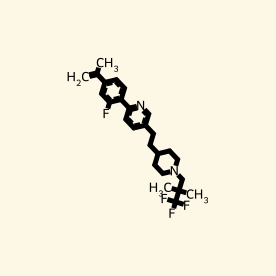 C=C(C)c1ccc(-c2ccc(CCC3CCN(CC(C)(C)C(F)(F)F)CC3)cn2)c(F)c1